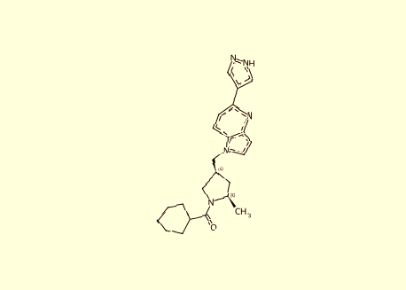 C[C@@H]1C[C@H](Cn2ccc3nc(-c4cn[nH]c4)ccc32)CN1C(=O)C1CCCCC1